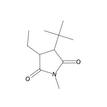 CCC1C(=O)N(C)C(=O)C1C(C)(C)C